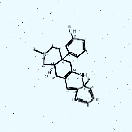 CN1CC[C@]2(c3cccc(O)c3)CC3=C(C=C4C=CC=CC4(C)N3)C[C@H]2C1